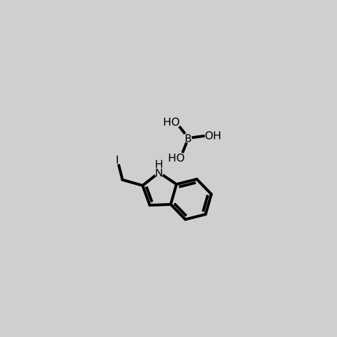 ICc1cc2ccccc2[nH]1.OB(O)O